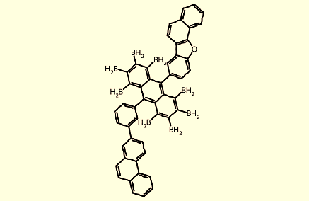 Bc1c(B)c(B)c2c(-c3ccc4oc5c6ccccc6ccc5c4c3)c3c(B)c(B)c(B)c(B)c3c(-c3cccc(-c4ccc5c(ccc6ccccc65)c4)c3)c2c1B